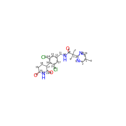 Cc1cnc(C(C)(C)C(=O)NCc2cc(Cl)c(C3CCC(=O)NC3=O)c(Cl)c2)nc1